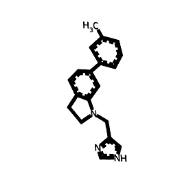 Cc1cccc(-c2ccc3c(c2)N(Cc2c[nH]cn2)CC3)c1